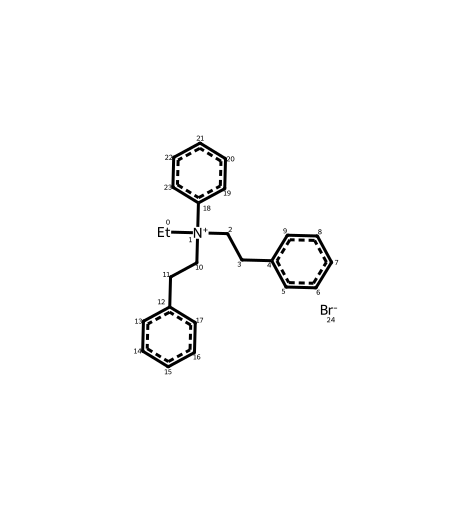 CC[N+](CCc1ccccc1)(CCc1ccccc1)c1ccccc1.[Br-]